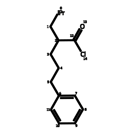 CC(C)CC(CCCc1ccccc1)C(=O)Cl